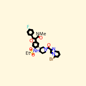 CCS(=O)(=O)Nc1cc2oc(-c3ccc(F)cc3)c(C(=O)NC)c2cc1[C@H]1CCCN(C(=O)c2cn3c(Br)cccc3n2)C1